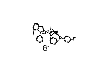 Fc1ccc(P2c3ccc(cc3)C3[C]([Zr+2][C]4=Cc5cccc(I)c5C4c4ccccc4)=Cc4c2ccc(I)c43)cc1.[Cl-].[Cl-]